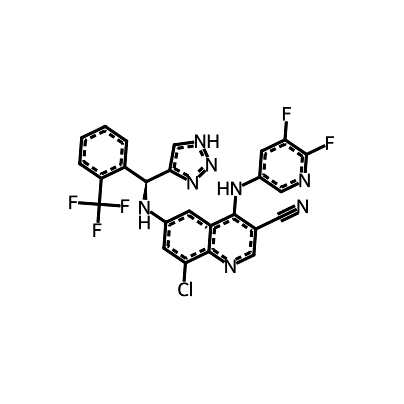 N#Cc1cnc2c(Cl)cc(N[C@H](c3c[nH]nn3)c3ccccc3C(F)(F)F)cc2c1Nc1cnc(F)c(F)c1